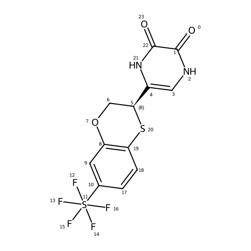 O=c1[nH]cc([C@@H]2COc3cc(S(F)(F)(F)(F)F)ccc3S2)[nH]c1=O